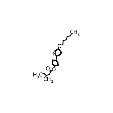 CCCCCCOc1ccc(-c2ccc(OC(=O)CC(C)CC)cc2)nc1